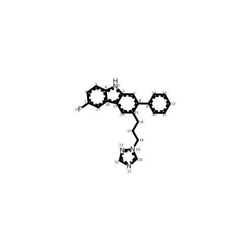 Fc1ccc2[nH]c3cc(-c4ccccc4)c(CCCn4cncn4)cc3c2c1